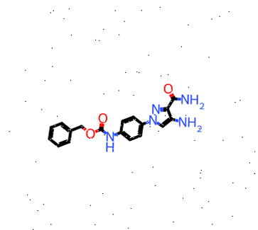 NC(=O)c1nn(-c2ccc(NC(=O)OCc3ccccc3)cc2)cc1N